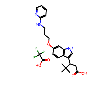 CC(C)(C)C(CC(=O)O)c1c[nH]c2cc(OCCCNc3ccccn3)ccc12.O=C(O)C(F)(F)F